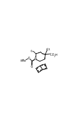 CCC1CC(CC)(C(=O)O)CCN1C(=O)OC(C)(C)C.c1cc2ccc1-2